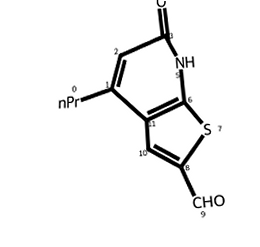 CCCc1cc(=O)[nH]c2sc(C=O)cc12